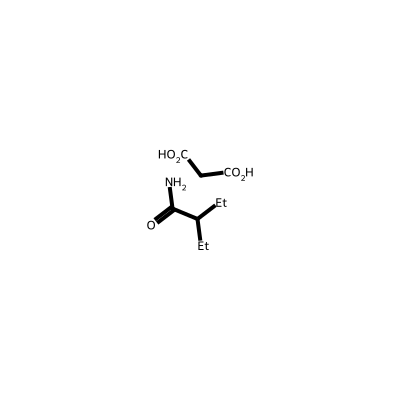 CCC(CC)C(N)=O.O=C(O)CC(=O)O